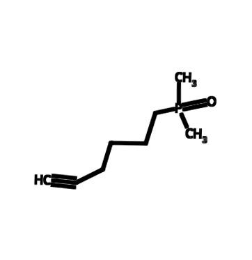 C#CCCCCP(C)(C)=O